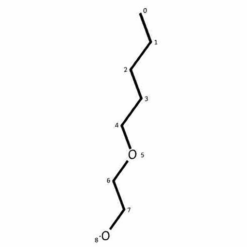 CCCCCOCC[O]